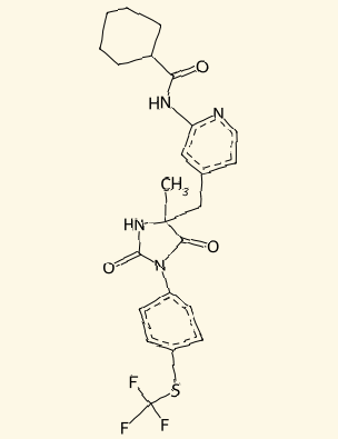 CC1(Cc2ccnc(NC(=O)C3CCCCC3)c2)NC(=O)N(c2ccc(SC(F)(F)F)cc2)C1=O